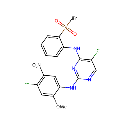 COc1cc(F)c([N+](=O)[O-])cc1Nc1ncc(Cl)c(Nc2ccccc2S(=O)(=O)C(C)C)n1